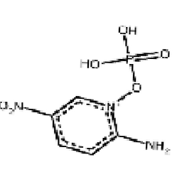 Nc1ccc([N+](=O)[O-])c[n+]1OP(=O)(O)O